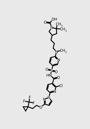 CN(CCCC1CN(C(=O)O)C(C)(C)C1)c1ccc(S(=O)(=O)NC(=O)c2ccc(-n3ccc(OCCC4(C(F)(F)F)CC4)n3)nc2Cl)cn1